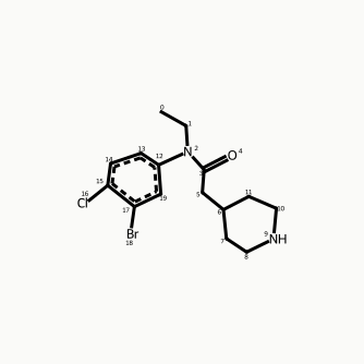 CCN(C(=O)CC1CCNCC1)c1ccc(Cl)c(Br)c1